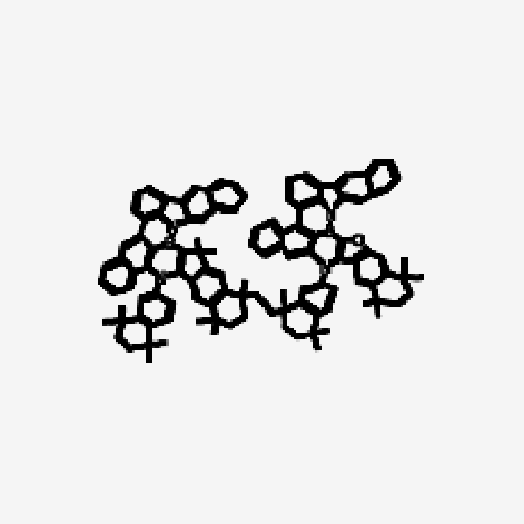 CC1(C)CCC(C)(C)c2cc(N3C4=C(B5c6c(cc7ccccc7c63)-c3cccc6c7cc8ccccc8cc7n5c36)C(C)(C)c3cc5c(cc34)C(C)(C)CCC5(C)CCC3(C)CCC(C)(C)c4ccc(N5c6cc7ccccc7c7c6B(c6oc8cc9c(cc8c65)C(C)(C)CCC9(C)C)n5c6cc8ccccc8cc6c6cccc-7c65)cc43)ccc21